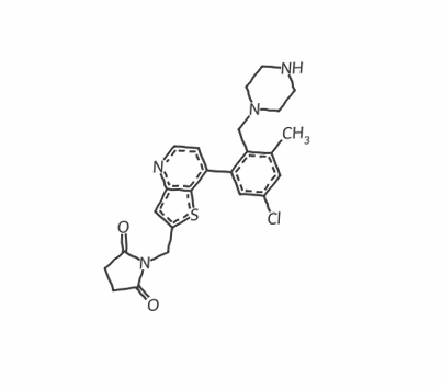 Cc1cc(Cl)cc(-c2ccnc3cc(CN4C(=O)CCC4=O)sc23)c1CN1CCNCC1